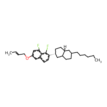 C/C=C/COc1cc(F)c2c(F)c([C@@H]3CC[C@@H]4CC(CCCCCC)CCC4C3)ccc2c1